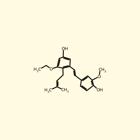 CCOc1cc(O)cc(/C=C/c2ccc(O)c(OC)c2)c1CC=C(C)C